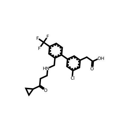 O=C(O)Cc1cc(Cl)cc(-c2ccc(C(F)(F)F)cc2CNCCC(=O)C2CC2)c1